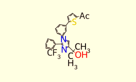 CC(=O)c1ccc(-c2cccc(-n3cc(C(C)(C)O)nc3-c3ccccc3C(F)(F)F)c2)s1